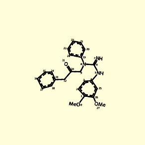 COc1ccc(NC(=N)N(CC(=O)Cc2ccccc2)c2ccccc2)cc1OC